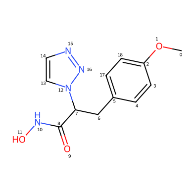 COc1ccc(CC(C(=O)NO)n2ccnn2)cc1